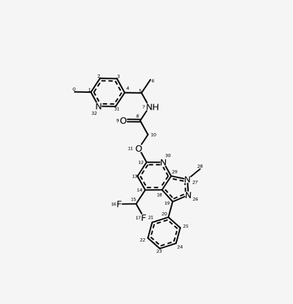 Cc1ccc(C(C)NC(=O)COc2cc(C(F)F)c3c(-c4ccccc4)nn(C)c3n2)cn1